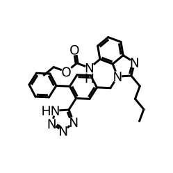 CCCCc1nc2cccc(NC(=O)OCC)c2n1Cc1ccc(-c2ccccc2)c(-c2nnn[nH]2)c1